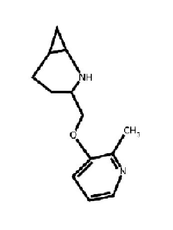 Cc1ncccc1OCC1CCC2CC2N1